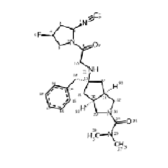 [C-]#[N+][C@@H]1C[C@H](F)CN1C(=O)CN[C@@]1(Cc2ccccc2)C[C@H]2CN(C(=O)N(C)C)C[C@H]2C1